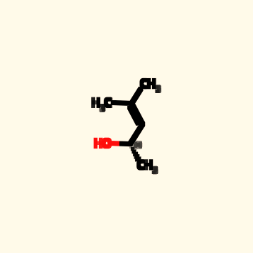 CC(C)=C[C@H](C)O